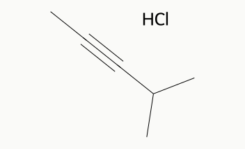 CC#CC(C)C.Cl